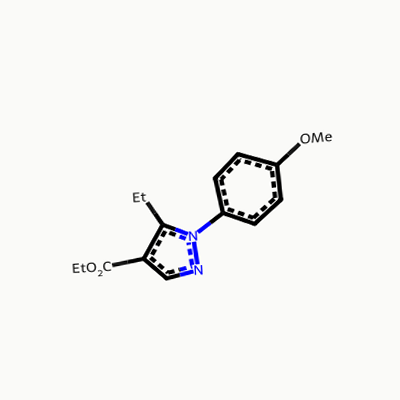 CCOC(=O)c1cnn(-c2ccc(OC)cc2)c1CC